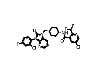 O=C(N[C@H]1CC[C@H](Cn2c(=O)n(-c3ccc(F)cc3Cl)c3ncccc32)CC1)c1cc(Cl)cnc1C(F)F